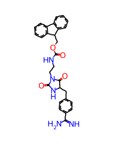 N=C(N)c1ccc(CC2NC(=O)N(CCNC(=O)OCC3c4ccccc4-c4ccccc43)C2=O)cc1